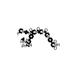 CC(C)n1cnc2cc(-c3ccc4c(c3)N([C@H]3C[C@@H](N5CCC[C@@H](F)C5)C3)C(=O)C43CCN(C(=O)C4(C)CCN(C(=O)C5CCN(c6ccc(C7CCC(=O)NC7=O)cc6)CC5)CC4)CC3)nc(NC3CC3)c21